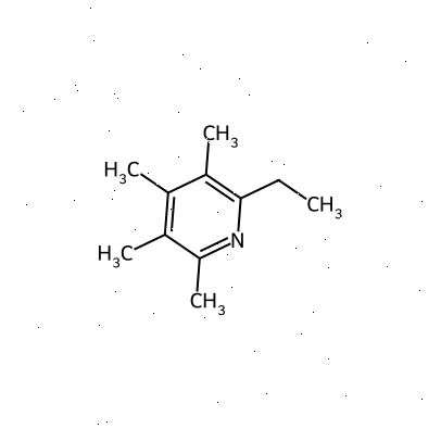 CCc1nc(C)c(C)c(C)c1C